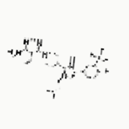 C=Cc1c(N)ncnc1N1CCC(C2NC(c3ccc(F)c(C(F)(F)F)c3)=CN2CCN(C)C)CC1